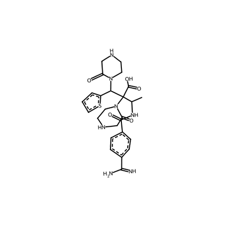 CC(NC(=O)c1ccc(C(=N)N)cc1)C(C(=O)O)(C(c1cccs1)N1CCNCC1=O)N1CCNCC1=O